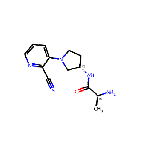 C[C@H](N)C(=O)N[C@H]1CCN(c2cccnc2C#N)C1